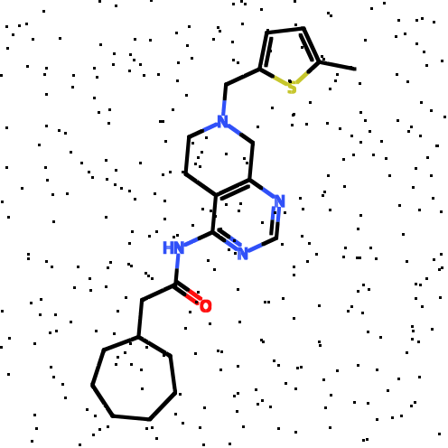 Cc1ccc(CN2CCc3c(ncnc3NC(=O)CC3CCCCCC3)C2)s1